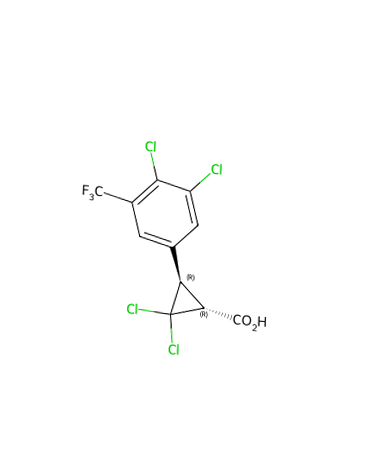 O=C(O)[C@H]1[C@H](c2cc(Cl)c(Cl)c(C(F)(F)F)c2)C1(Cl)Cl